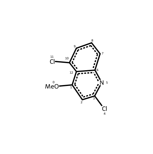 COc1cc(Cl)nc2cccc(Cl)c12